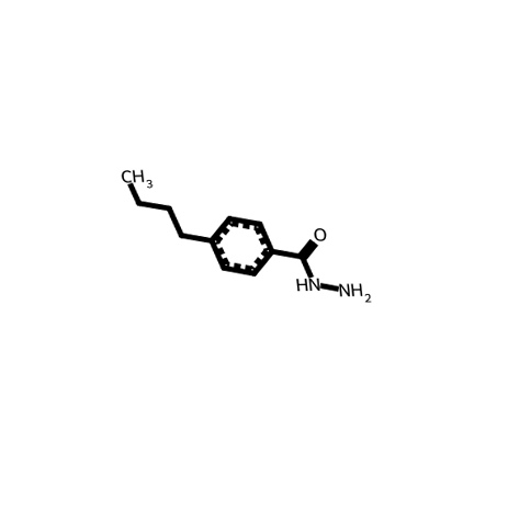 CCCCc1ccc(C(=O)NN)cc1